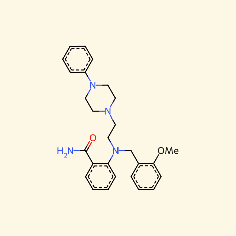 COc1ccccc1CN(CCN1CCN(c2ccccc2)CC1)c1ccccc1C(N)=O